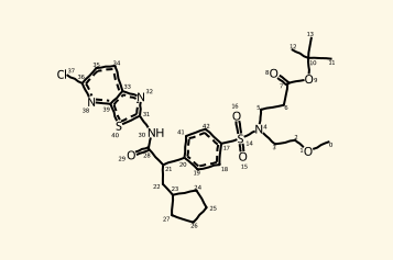 COCCN(CCC(=O)OC(C)(C)C)S(=O)(=O)c1ccc(C(CC2CCCC2)C(=O)Nc2nc3ccc(Cl)nc3s2)cc1